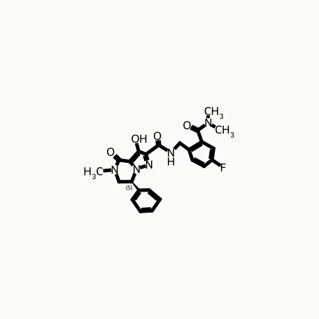 CN(C)C(=O)c1cc(F)ccc1CNC(=O)c1nn2c(c1O)C(=O)N(C)C[C@@H]2c1ccccc1